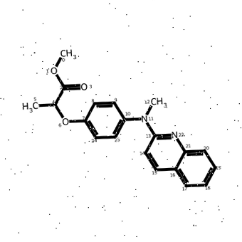 COC(=O)C(C)Oc1ccc(N(C)c2ccc3ccccc3n2)cc1